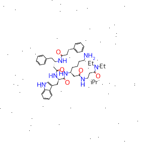 CCN(CC)C(=O)C[C@@H](NC(=O)C[C@H](CCCCN)NC(=O)[C@@H](Cc1c[nH]c2ccccc12)NC(=O)C[C@H](Cc1ccccc1)NC(=O)CCc1ccccc1)C(C)C